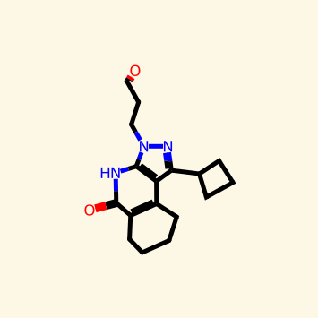 O=CCCn1nc(C2CCC2)c2c3c(c(=O)[nH]c21)CCCC3